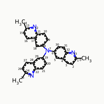 Cc1ccc2cc(N(c3ccc4nc(C)ccc4c3)c3ccc4nc(C)ccc4c3)ccc2n1